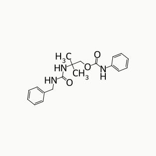 CC(C)(COC(=O)Nc1ccccc1)NC(=O)NCc1ccccc1